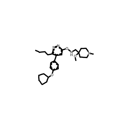 CCCCc1nnc(ONCC2(OC)CCN(C)CC2)cc1-c1ccc(OC2CCCCC2)cc1